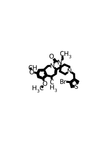 CCN1C(=O)N2Cc3cc(OC)cc(OC)c3C(C)C=C2C12CCN(Cc1cscc1Br)CC2